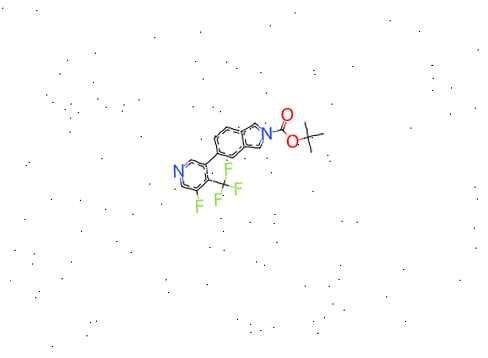 CC(C)(C)OC(=O)n1cc2ccc(-c3cncc(F)c3C(F)(F)F)cc2c1